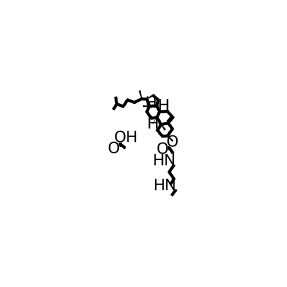 CC(=O)O.CCNCCCNCC(=O)O[C@H]1CC[C@@]2(C)C(=CC[C@H]3[C@@H]4CC[C@H]([C@H](C)CCCC(C)C)[C@@]4(C)CC[C@@H]32)C1